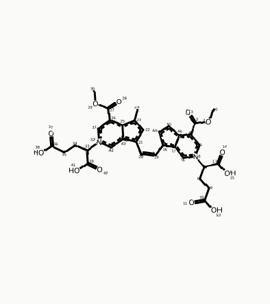 COC(=O)c1cn(C(CCC(=O)O)C(=O)O)cc2c(/C=C\c3cc(C)c4c(C(=O)OC)cn(C(CCC(=O)O)C(=O)O)cc3-4)ccc1-2